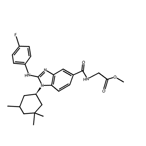 COC(=O)CNC(=O)c1ccc2c(c1)nc(Nc1ccc(F)cc1)n2[C@@H]1CC(C)CC(C)(C)C1